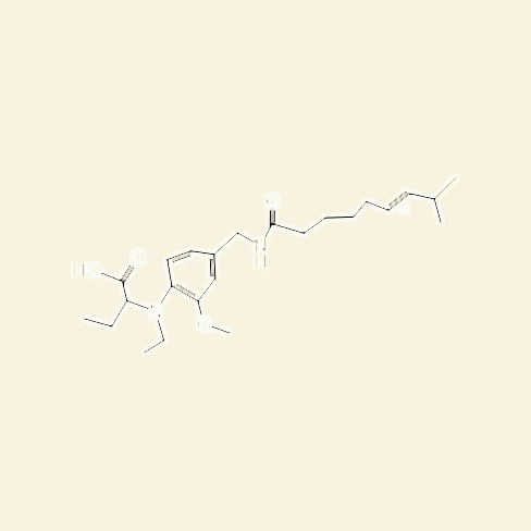 CCC(C(=O)O)N(CC)c1ccc(CNC(=O)CCCC/C=C/C(C)C)cc1OC